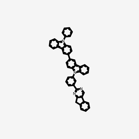 c1ccc(-n2c3ccccc3c3cc(-c4ccc5c(c4)c4ccccc4n5-c4cccc(-c5ncc6c(n5)Cc5ccccc5-6)c4)ccc32)cc1